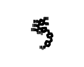 CCc1cc(C(=N)N(C(C)=N)c2ccc(CN3CCN(CC4CCN(C)CC4)CC3)cc2)c(O)cc1O